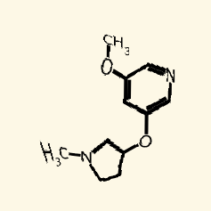 COc1cncc(OC2CCN(C)C2)c1